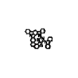 c1ccc2cc3c(cc2c1)c1c2c(cc4c5ccccc5n3c41)c1ccccc1n2-c1nc(-n2c3ccccc3c3ccccc32)c2sc3ccccc3c2n1